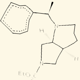 CCOC(=O)N1C[C@@H]2CCN([C@H](C)c3ccccc3)[C@@H]2C1